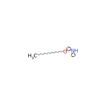 CCCCCCCCCCCCCCCCOc1cccc(Nc2ccccc2)c1